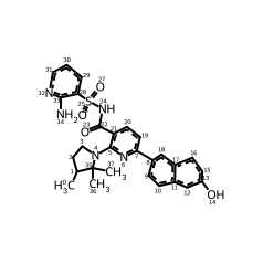 CC1CCN(c2nc(-c3ccc4cc(O)ccc4c3)ccc2C(=O)NS(=O)(=O)c2cccnc2N)C1(C)C